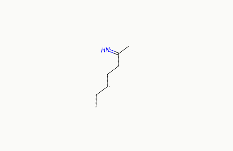 CC[CH]CCC(C)=N